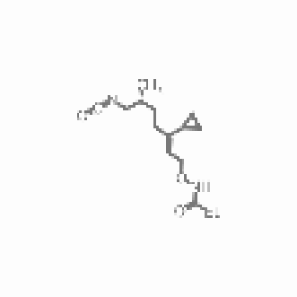 CCC(=O)NOC/C=C(/CC[C@H](C)CN=C=O)C1CC1